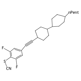 CCCCCC1CCC(C2CCC(C#Cc3cc(F)c(SC#N)c(F)c3)CC2)CC1